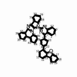 c1ccc2c(-c3ccc(-c4cccc5c4oc4ccccc45)cc3)nc(-n3c4ccccc4c4nc5c6ccccc6c6ccccc6n5c43)nc2c1